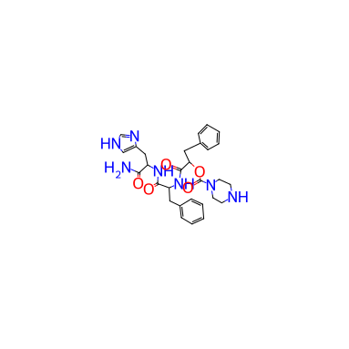 NC(=O)C(Cc1c[nH]cn1)NC(=O)C(Cc1ccccc1)NC(=O)C(Cc1ccccc1)OC(=O)N1CCNCC1